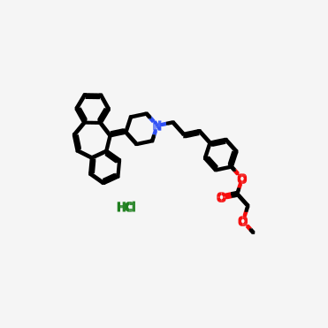 COCC(=O)Oc1ccc(/C=C/CN2CCC(=C3c4ccccc4C=Cc4ccccc43)CC2)cc1.Cl